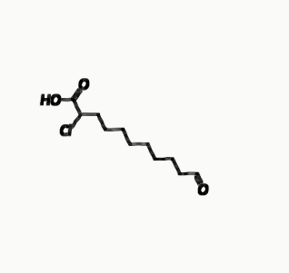 O=CCCCCCCCCC(Cl)C(=O)O